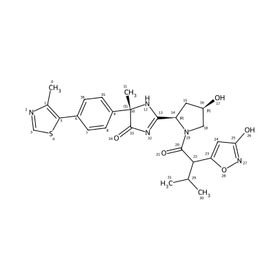 Cc1ncsc1-c1ccc([C@]2(C)NC([C@H]3C[C@@H](O)CN3C(=O)C(c3cc(O)no3)C(C)C)=NC2=O)cc1